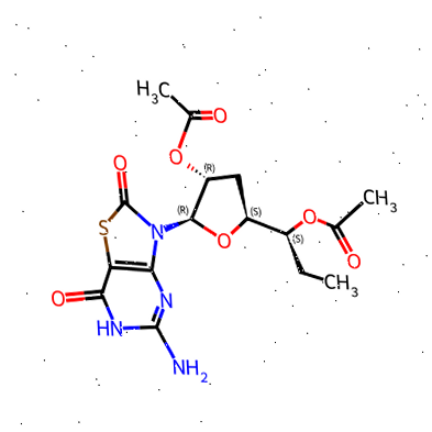 CC[C@H](OC(C)=O)[C@@H]1C[C@@H](OC(C)=O)[C@H](n2c(=O)sc3c(=O)[nH]c(N)nc32)O1